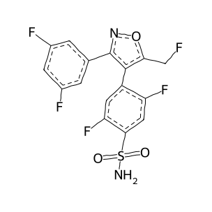 NS(=O)(=O)c1cc(F)c(-c2c(-c3cc(F)cc(F)c3)noc2CF)cc1F